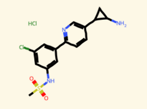 CS(=O)(=O)Nc1cc(Cl)cc(-c2ccc(C3CC3N)cn2)c1.Cl